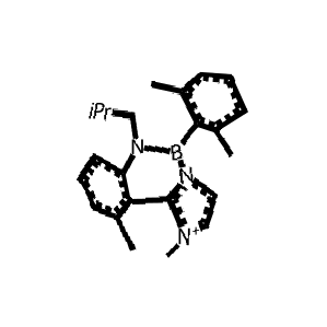 Cc1cccc(C)c1B1N(CC(C)C)c2cccc(C)c2-c2n1cc[n+]2C